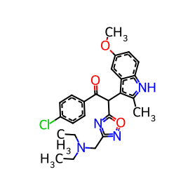 CCN(CC)Cc1noc(C(C(=O)c2ccc(Cl)cc2)c2c(C)[nH]c3ccc(OC)cc23)n1